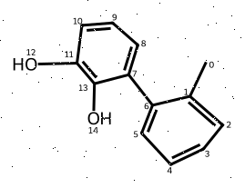 Cc1ccccc1-c1cccc(O)c1O